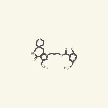 CCc1nn(CCCOC(=O)c2cc(OC)ccc2F)c2c1C(=O)NCC1(CCOCC1)C2